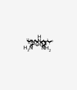 CCC[C@H](CCNC(=O)CN(CCC)CCN)CC(N)=O